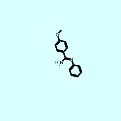 COc1ccc(/C(N)=N/c2ccccc2)cc1